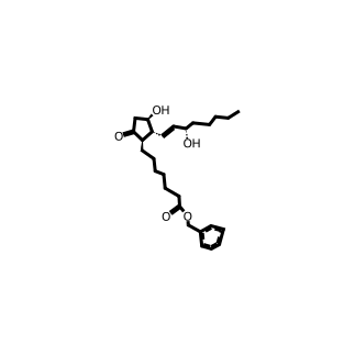 CCCCC[C@H](O)/C=C/[C@H]1[C@H](O)CC(=O)[C@@H]1CCCCCCC(=O)OCc1ccccc1